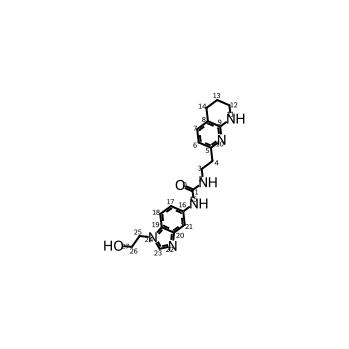 O=C(NCCc1ccc2c(n1)NCCC2)Nc1ccc2c(c1)ncn2CCO